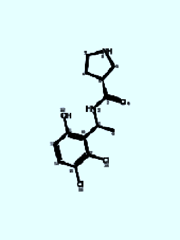 CC(NC(=O)[C@H]1CCNC1)c1c(O)ccc(Cl)c1Cl